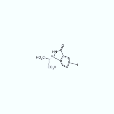 O=C1N[C@@H](C(C(=O)O)C(=O)O)c2ccc(I)cc21